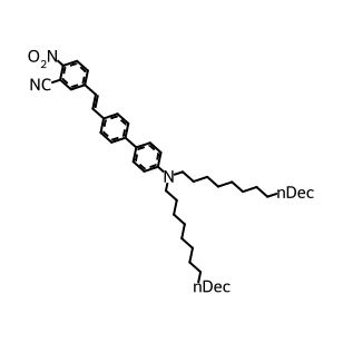 CCCCCCCCCCCCCCCCCCN(CCCCCCCCCCCCCCCCCC)c1ccc(-c2ccc(/C=C/c3ccc([N+](=O)[O-])c(C#N)c3)cc2)cc1